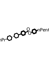 CCCCCc1ccc(OC(=O)c2ccc(C3CCC([C@H]4CC[C@H](CCC)CC4)CC3)cc2)cc1